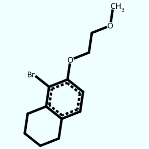 COCCOc1ccc2c(c1Br)CCCC2